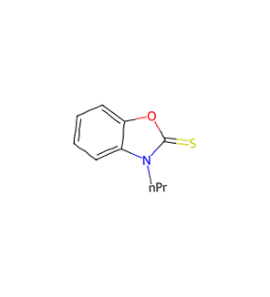 CCCn1c(=S)oc2ccccc21